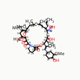 C=CC[C@@H]1/C=C(\C)C[C@H](C)C[C@H](OC)[C@H]2O[C@@](O)(C(=O)C(=O)N3CCCC[C@H]3C(=O)O[C@H](/C(C)=C/[C@@H]3CC[C@@H](O)[C@H](OC)C3)[C@H](C)[C@@H](O)C/C1=N/O)[C@H](C)C[C@@H]2OC